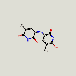 CC1=CC(=Nc2cc(C)c(O)[nH]c2=O)C(=O)NC1=O